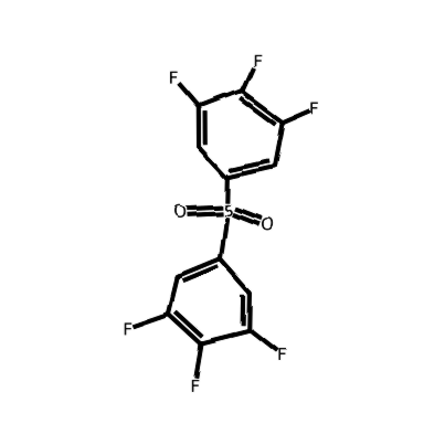 O=S(=O)(c1cc(F)c(F)c(F)c1)c1cc(F)c(F)c(F)c1